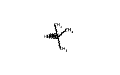 CCCCCCCCCc1ccc(O)c(CCCCCCCCC)c1CCCCCCCCC.OP(O)O.OP(O)O